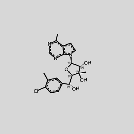 Cc1cc([C@@H](O)[C@H]2O[C@@H](n3ccc4c(C)ncnc43)[C@H](O)[C@]2(C)O)ccc1Cl